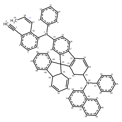 C#Cc1cccc(N(c2ccccc2)c2ccc3c(c2)C2(C4=C3C=CC(N(c3ccccc3)c3cccc5ccccc35)C4)c3ccccc3C3C=CC=CC32)c1/C=C\C